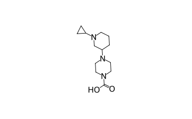 O=C(O)N1CCN(C2CCCN(C3CC3)C2)CC1